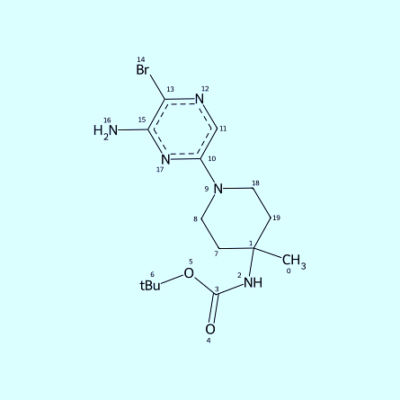 CC1(NC(=O)OC(C)(C)C)CCN(c2cnc(Br)c(N)n2)CC1